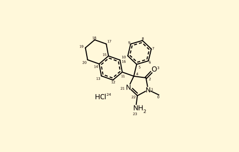 CN1C(=O)C(c2ccccc2)(c2ccc3c(c2)CCCC3)N=C1N.Cl